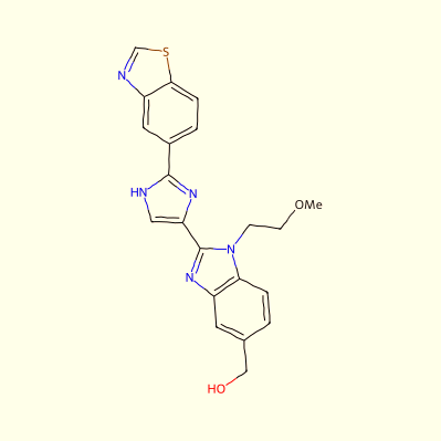 COCCn1c(-c2c[nH]c(-c3ccc4scnc4c3)n2)nc2cc(CO)ccc21